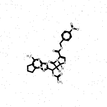 CC(=O)OC(c1nc2nc(C)c3c(n2n1)CCC3)C1(Br)C(=O)N2C(C(=O)OCc3ccc([N+](=O)[O-])cc3)=CS[C@@H]21